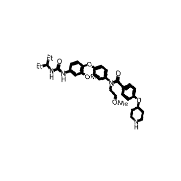 CCC(CC)NC(=O)Nc1ccc(Oc2ccc(N(CCOC)C(=O)c3ccc(OC4CCNCC4)cc3)cc2)c(OC)c1